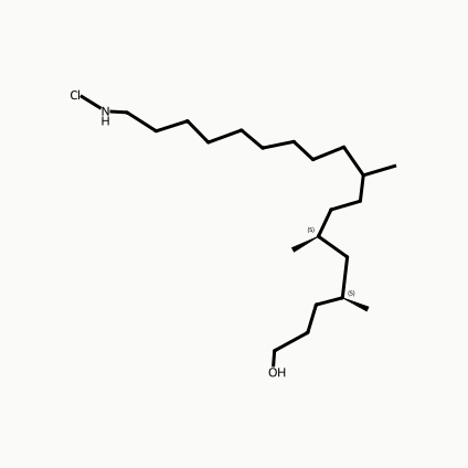 CC(CCCCCCCCCNCl)CC[C@H](C)C[C@@H](C)CCCO